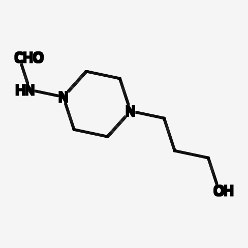 O=CNN1CCN(CCCO)CC1